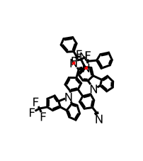 N#Cc1ccc(-c2cc(-c3nc(-c4ccccc4)nc(-c4ccccc4)n3)ccc2-n2c3ccccc3c3cc(C(F)(F)F)ccc32)c(-n2c3ccccc3c3cc(C(F)(F)F)ccc32)c1